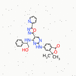 CC1(C)OC(=O)c2ccc(Nc3ncc(-c4nnc(-c5ccccn5)o4)c(NC(CO)c4ccccc4)n3)cc21